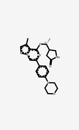 Cc1cnn2cc(-c3ccc(N4CCOCC4)cc3)nc(O[C@H](C)C3CNC(=O)C3)c12